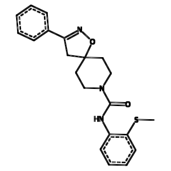 CSc1ccccc1NC(=O)N1CCC2(CC1)CC(c1ccccc1)=NO2